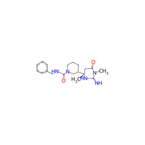 CN1C(=N)N[C@](C)(C2CCCN(C(=O)NCc3ccccc3)C2)CC1=O